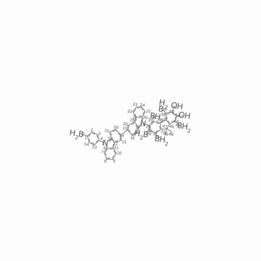 Bc1ccc(-n2c3ccccc3c3cc(-c4ccc5c(c4)c4ccccc4n5-c4c(B)c(B)c5c(c4B)-c4c(B)c(O)c(O)c(B)c4C5(C)C)ccc32)cc1